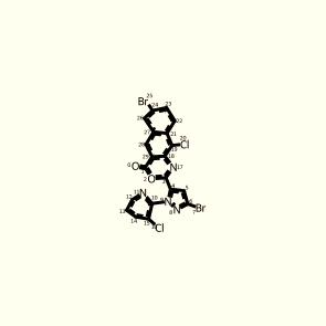 O=c1oc(-c2cc(Br)nn2-c2ncccc2Cl)nc2c(Cl)c3ccc(Br)cc3cc12